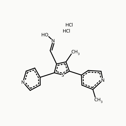 Cc1cc(-c2sc(-c3ccncc3)c(C=NO)c2C)ccn1.Cl.Cl